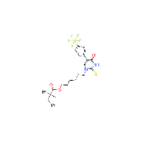 CC(C)CC(C)(C(=O)OCCCCCCn1cc(-c2ccc(S(F)(F)(F)(F)F)cc2)c(=O)[nH]c1=S)C(C)C